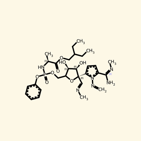 C=Nn1c(/C(N)=N\C)ccc1[C@]1(C=NC)OC(COP(=O)(N[C@@H](C)C(=O)OCC(CC)CC)Oc2ccccc2)[C@@H](O)[C@H]1O